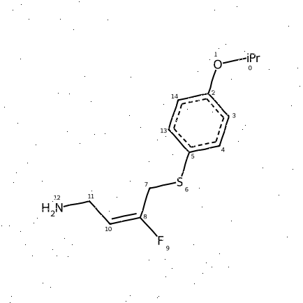 CC(C)Oc1ccc(SC/C(F)=C\CN)cc1